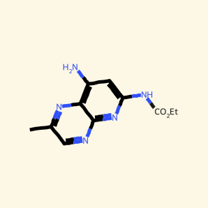 CCOC(=O)Nc1cc(N)c2nc(C)cnc2n1